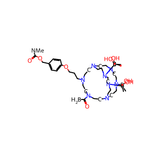 BC(=O)N1CCN(CCCOc2ccc(COC(=O)NC)cc2)CCN2CCN(B(C)O)CCN(B(C)O)CCN(CCN(B(C)O)CCN(B(C)O)CC2)CC1